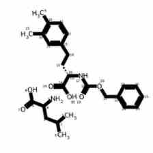 CC(C)CC(N)C(=O)O.Cc1ccc(CC[C@H](NC(=O)OCc2ccccc2)C(=O)O)cc1C